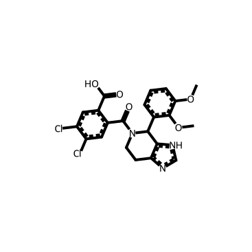 COc1cccc(C2c3[nH]cnc3CCN2C(=O)c2cc(Cl)c(Cl)cc2C(=O)O)c1OC